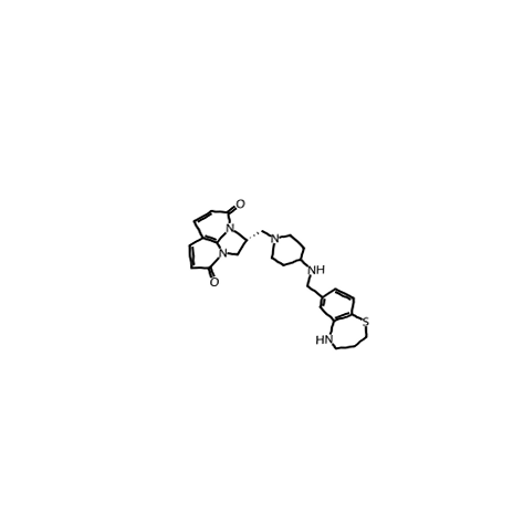 O=c1ccc2ccc(=O)n3c2n1C[C@H]3CN1CCC(NCc2ccc3c(c2)NCCCS3)CC1